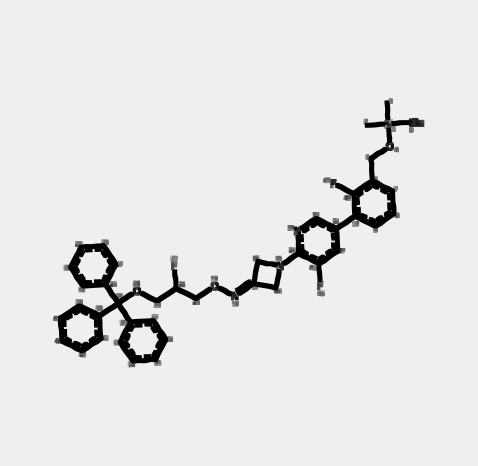 CC(C)(C)[Si](C)(C)OCc1cccc(-c2cnc(N3CC(=NOCC(F)COC(c4ccccc4)(c4ccccc4)c4ccccc4)C3)c(F)c2)c1F